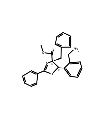 COC(=O)[C@@]1(Cc2ccccc2)N=C(c2ccccc2)O[C@H]1c1ccccc1CN